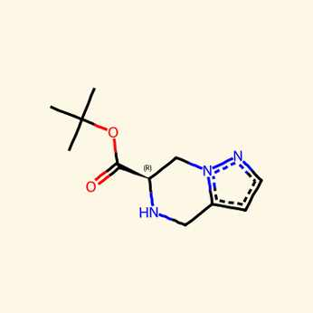 CC(C)(C)OC(=O)[C@H]1Cn2nccc2CN1